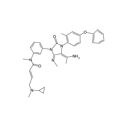 C/N=C1\C(=C(/C)N)N(c2ccc(Oc3ccccc3)cc2C)C(=O)N1c1cccc(N(C)C(=O)/C=C/CN(C)C2CC2)c1